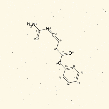 NC(=O)N=C=CCC(=O)Oc1ccccc1